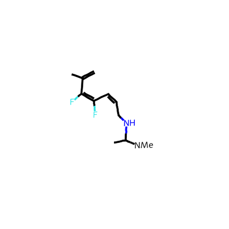 C=C(C)/C(F)=C(F)\C=C/CNC(C)NC